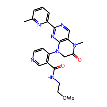 COCCNC(=O)c1cnccc1N1CC(=O)N(C)c2cnc(-c3cccc(C)n3)nc21